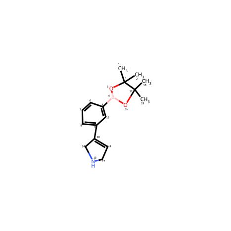 CC1(C)OB(c2cccc(C3=CCNC3)c2)OC1(C)C